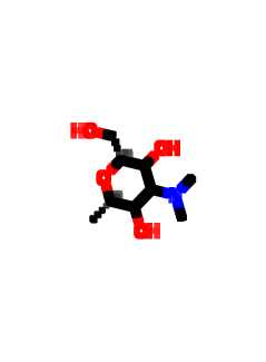 C[C@@H]1O[C@H](CO)C(O)C(N(C)C)C1O